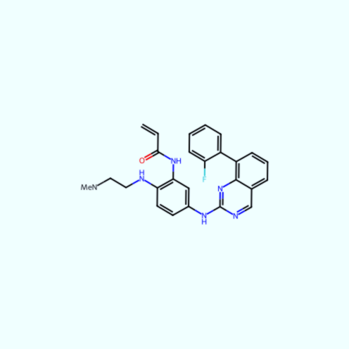 C=CC(=O)Nc1cc(Nc2ncc3cccc(-c4ccccc4F)c3n2)ccc1NCCNC